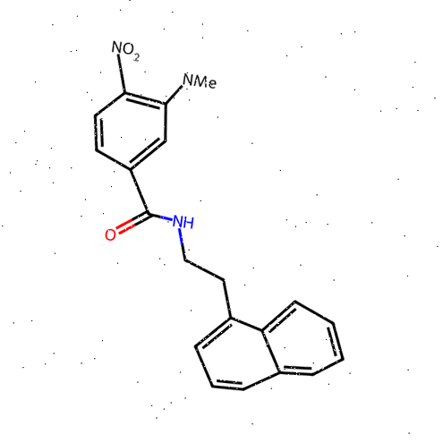 CNc1cc(C(=O)NCCc2cccc3ccccc23)ccc1[N+](=O)[O-]